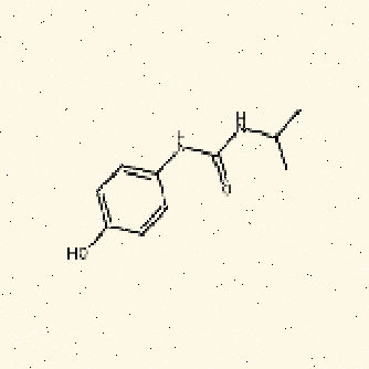 CC(C)NC(=O)Nc1ccc(O)cc1